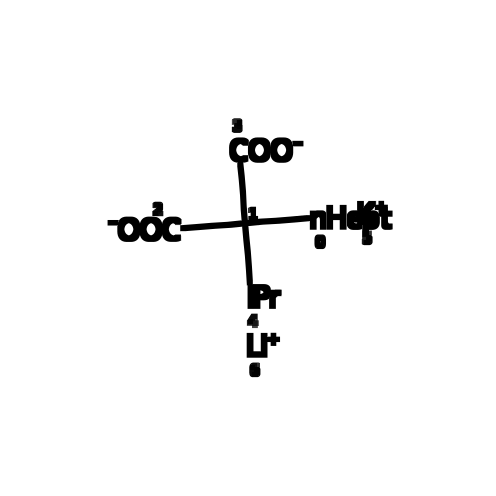 CCCCCCCC(C(=O)[O-])(C(=O)[O-])C(C)C.[K+].[Li+]